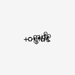 C[C@@H]1C(=O)N(C(=O)C2CC2)[C@H]2CCN(C(=O)[C@@H]3CCCN3C(=O)c3ccc(C(C)(C)C)cc3)[C@H]12